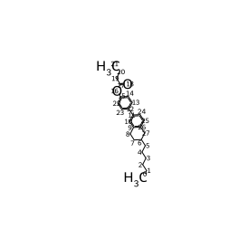 CCCCCCC1CCc2cc(-c3ccc(OC(=O)CCC)cc3)ccc2C1